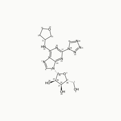 OC[C@H]1O[C@@H](n2cnc3c(NC4CCOC4)nc(-n4cnnn4)nc32)[C@H](O)[C@@H]1O